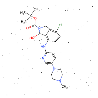 CN1CCN(c2ccc(Nc3ccc(Cl)c4c3C(O)N(C(=O)OC(C)(C)C)C4)nc2)CC1